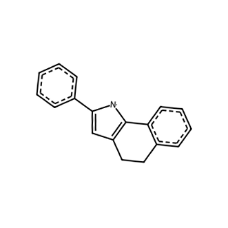 C1=C(c2ccccc2)[N]C2=C1CCc1ccccc12